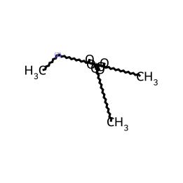 CCCCCCCC/C=C\CCCCCCCCCCCC(=O)OC[C@@H](COC(=O)CCCCCCCCCCCCCCC)OC(=O)CCCCCCCCCCCCCCCCCCCCC